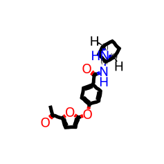 CC(=O)c1ccc(Oc2ccc(C(=O)N[C@@H]3C[C@H]4CC[C@@H]3N4)cc2)o1